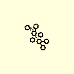 C1=Cc2c(n(-c3ccccc3)c3ccc([Si](c4ccccc4)(c4ccccc4)c4ccc(-c5ccccc5)c(-c5ccccc5)c4)cc23)CC1